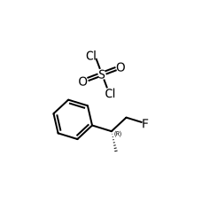 C[C@@H](CF)c1ccccc1.O=S(=O)(Cl)Cl